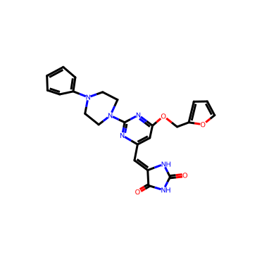 O=C1NC(=O)/C(=C/c2cc(OCc3ccco3)nc(N3CCN(c4ccccc4)CC3)n2)N1